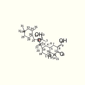 CC(=O)C[C@@H]1[C@@]2(C)C/C(=C\O)C(=O)C(C)(C)[C@@H]2CC[C@@]1(C)C(C)(C)CC[C@@]1(O)CCC(C)(C)CC1C